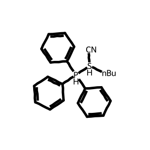 CCCC[SH](C#N)[PH](c1ccccc1)(c1ccccc1)c1ccccc1